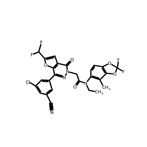 CCN(C(=O)Cn1nc(-c2cc(Cl)cc(C#N)c2)c2oc(C(F)F)cc2c1=O)c1ccc2c(c1C)OC(F)(F)O2